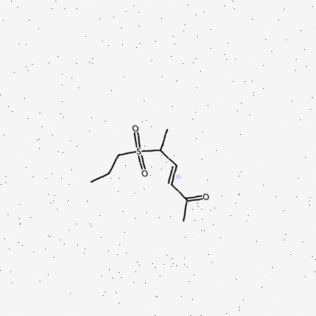 CCCS(=O)(=O)C(C)/C=C/C(C)=O